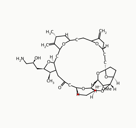 C=C1C[C@@H]2CC[C@]34CC[C@H](O3)[C@@H]3O[C@H]5CC[C@H](CC(=O)CC6[C@H](CC7O[C@H](CCC1O2)C[C@@H](C)C7=C)O[C@H](C[C@H](O)CN)[C@@H]6C)O[C@@H]5[C@H](O4)[C@@H]3OC